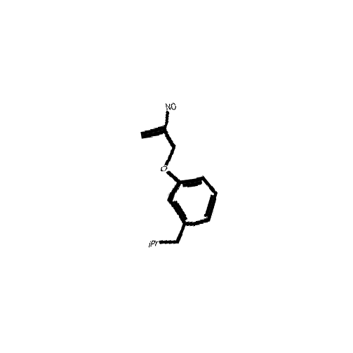 C=C(COc1cccc(CC(C)C)c1)N=O